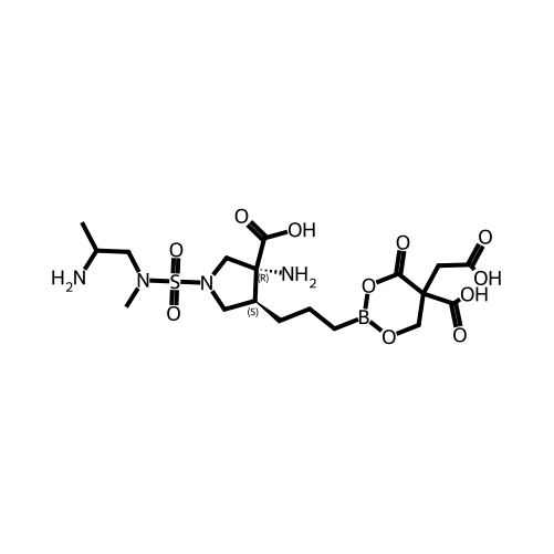 CC(N)CN(C)S(=O)(=O)N1C[C@H](CCCB2OCC(CC(=O)O)(C(=O)O)C(=O)O2)[C@](N)(C(=O)O)C1